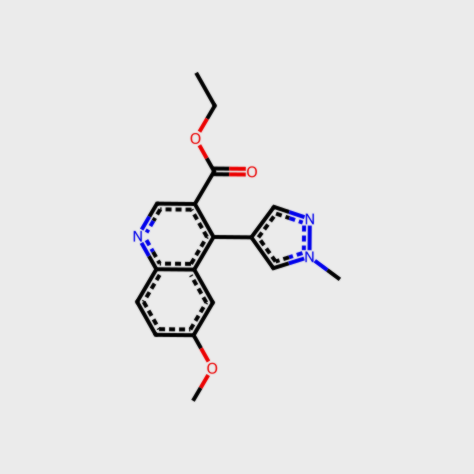 CCOC(=O)c1cnc2ccc(OC)cc2c1-c1cnn(C)c1